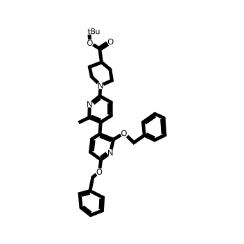 Cc1nc(N2CCC(C(=O)OC(C)(C)C)CC2)ccc1-c1ccc(OCc2ccccc2)nc1OCc1ccccc1